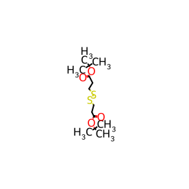 CC(C)(C)OC(=O)CCSSCCC(=O)OC(C)(C)C